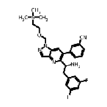 CS(C)(C)CCOCn1ncc2nc([C@@H](N)Cc3cc(F)cc(F)c3)c(-c3cccc(C#N)c3)cc21